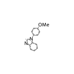 COc1ccc(-n2[c]nc3ccccc32)cc1